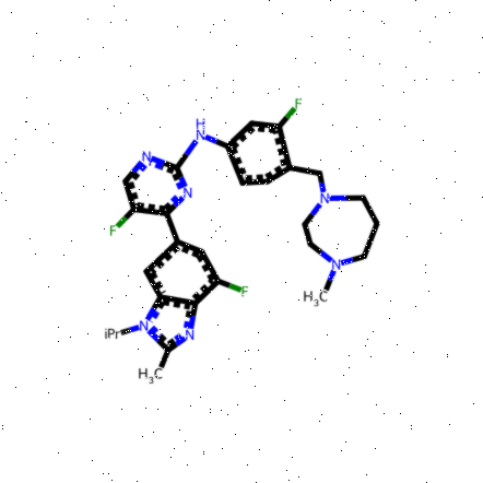 Cc1nc2c(F)cc(-c3nc(Nc4ccc(CN5CCCN(C)CC5)c(F)c4)ncc3F)cc2n1C(C)C